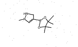 CN1C=C(B2OC(C)(C)C(C)(C)O2)CN1